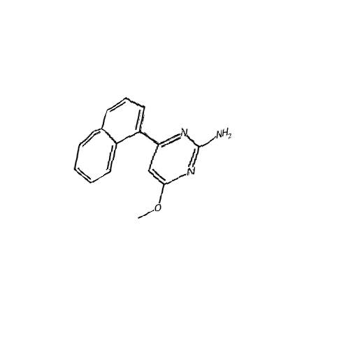 COc1cc(-c2cccc3ccccc23)nc(N)n1